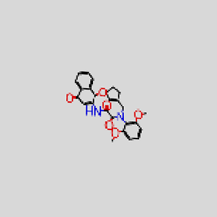 COc1cccc(OC)c1N(CC1=CCCC1)C(=O)C(=O)NC1=CC(=O)c2ccccc2C1=O